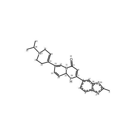 Cc1nc2ccc(C3=CC(=O)N4C=C(C5=CCN(C(C)C)CC5)C=CC4P3)cc2s1